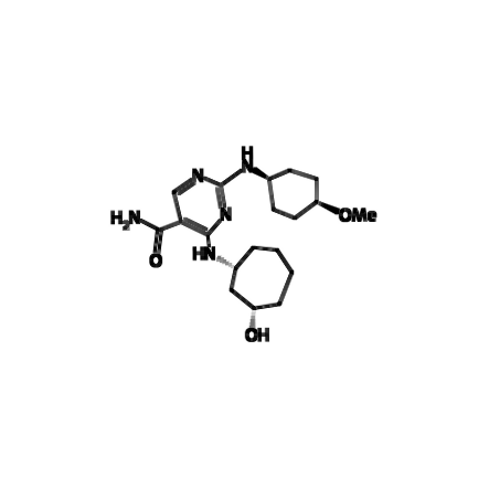 CO[C@H]1CC[C@@H](Nc2ncc(C(N)=O)c(N[C@@H]3CCCC[C@H](O)C3)n2)CC1